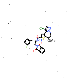 COC1CCn2ncc(Cl)c2-c2cc(C(=O)N[C@@H](Cc3cccc(F)c3)CN3C(=O)c4ccccc4C3=O)sc21